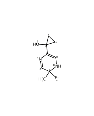 CCC1(C)C=NC(C2(O)CC2)=CN1